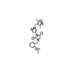 Cc1noc(C)c1Cn1cc(N2C(=O)CN(Cc3ccccc3[C@H]3CC3C)C2=O)cn1